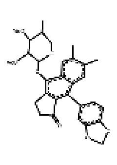 COC1C(C)COC(Oc2c3c(c(-c4ccc5c(c4)OCO5)c4cc(C)c(C)cc24)C(=O)CC3)C1OC(C)=O